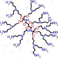 NCCCN(CCN)CCCOC(COCCCN(CCCN)CCCN)(COCCN(CCCN)CCCN)NC(=O)C(OCCCN(CCCN)CCCN)C(OCCCN(CCCN)CCCN)C(=O)NC(COCCCN(CCCN)CCCN)(COCCCN(CCCN)CCCN)OCCCN(CCCN)CCCN